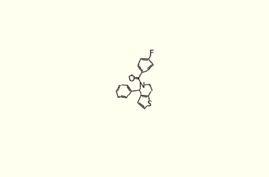 O=C(c1ccc(F)cc1)N1CCc2sccc2C1c1ccccc1